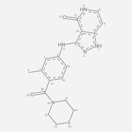 Cc1cc(Nc2n[nH]c3cc[nH]c(=O)c23)ccc1C(=O)N1CCSCC1